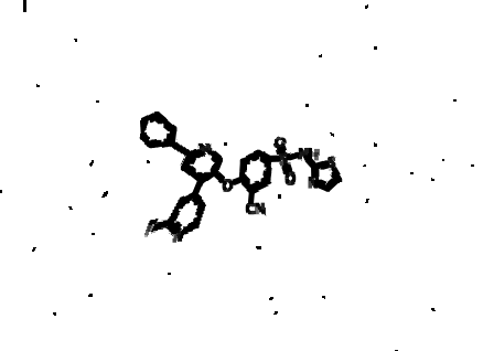 N#Cc1cc(S(=O)(=O)Nc2nccs2)ccc1Oc1cnc(-c2ccccc2)cc1-c1ccnc(F)c1